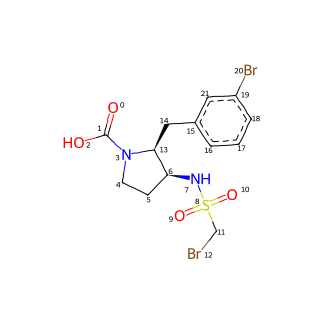 O=C(O)N1CC[C@H](NS(=O)(=O)CBr)[C@@H]1Cc1cccc(Br)c1